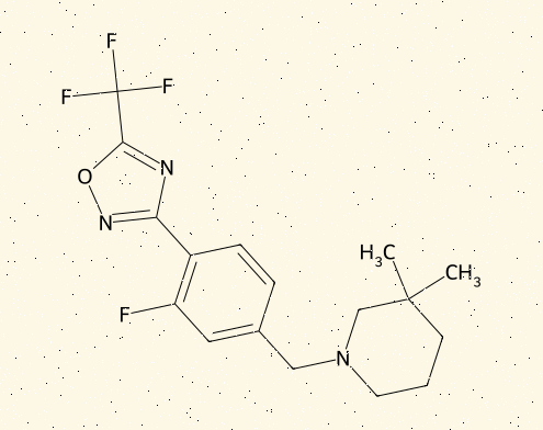 CC1(C)CCCN(Cc2ccc(-c3noc(C(F)(F)F)n3)c(F)c2)C1